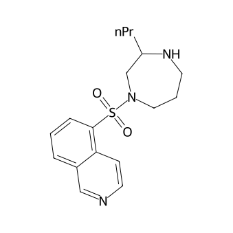 CCCC1CN(S(=O)(=O)c2cccc3cnccc23)CCCN1